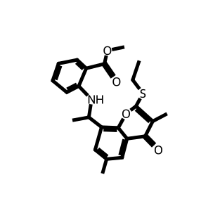 CCSc1oc2c(C(C)Nc3ccccc3C(=O)OC)cc(C)cc2c(=O)c1C